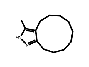 Ic1[nH]nc2c1CCCCCCCCC2